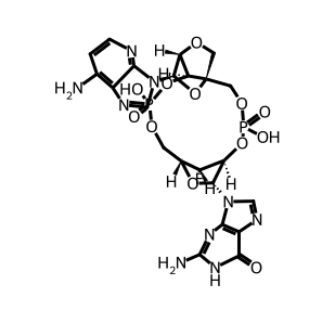 Nc1nc2c(ncn2[C@@H]2O[C@@H]3COP(=O)(O)O[C@H]4[C@H]5OC[C@@]4(COP(=O)(O)O[C@@H]2[C@@H]3F)O[C@H]5n2cnc3c(N)ccnc32)c(=O)[nH]1